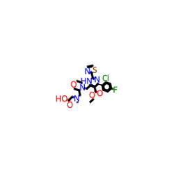 CCOC(=O)C1=C(CN2CCOCC2CN(C)CC(=O)O)NC(c2nccs2)=N[C@H]1c1ccc(F)cc1Cl